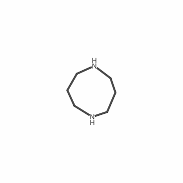 C1CNCCCNC1